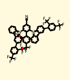 N#Cc1cc(-n2c3ccccc3c3cc(-c4ccc(C(F)(F)F)cc4C(F)(F)F)ccc32)c(-c2ccc(C(F)(F)F)cc2C#N)c(-n2c3ccccc3c3cc(-c4ccc(C(F)(F)F)cc4C(F)(F)F)ccc32)c1